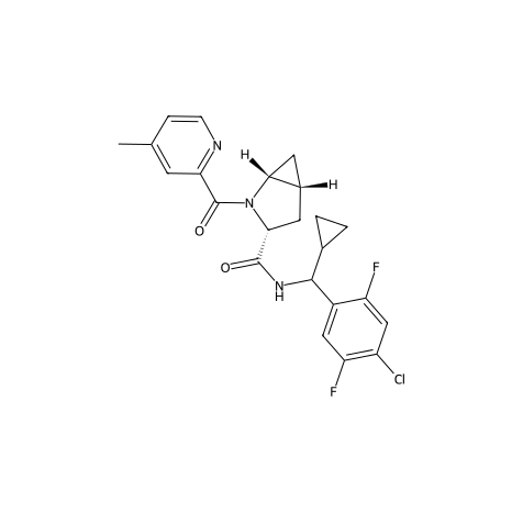 Cc1ccnc(C(=O)N2[C@@H](C(=O)NC(c3cc(F)c(Cl)cc3F)C3CC3)C[C@H]3C[C@H]32)c1